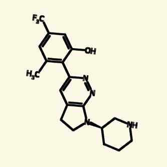 Cc1cc(C(F)(F)F)cc(O)c1-c1cc2c(nn1)N([C@@H]1CCCNC1)CC2